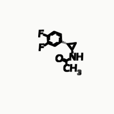 CC(=O)N[C@@H]1C[C@H]1c1ccc(F)c(F)c1